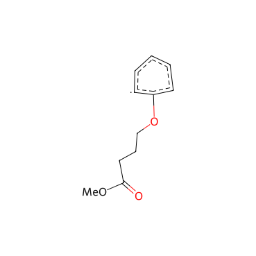 COC(=O)CCCOc1[c]cccc1